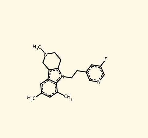 Cc1cc(C)c2c(c1)c1c(n2CCc2cncc(F)c2)CCN(C)C1